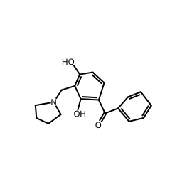 O=C(c1ccccc1)c1ccc(O)c(CN2CCCC2)c1O